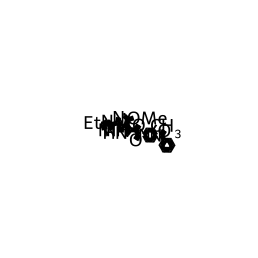 CCc1n[nH]c(-c2ncc(OC)c3c(C(=O)C(=O)N4CCN(C(=O)c5ccccc5)[C@H](C)C4)c[nH]c23)n1